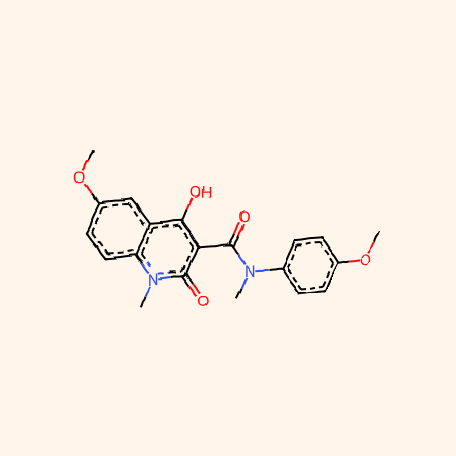 COc1ccc(N(C)C(=O)c2c(O)c3cc(OC)ccc3n(C)c2=O)cc1